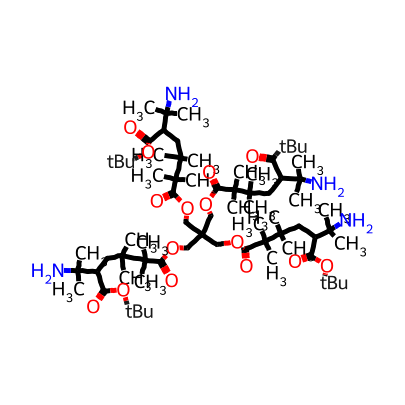 CC(C)(C)OC(=O)C(CC(C)(C)C(C)(C)C(=O)OCC(COC(=O)C(C)(C)C(C)(C)CC(C(=O)OC(C)(C)C)C(C)(C)N)(COC(=O)C(C)(C)C(C)(C)CC(C(=O)OC(C)(C)C)C(C)(C)N)COC(=O)C(C)(C)C(C)(C)CC(C(=O)C(C)(C)C)C(C)(C)N)C(C)(C)N